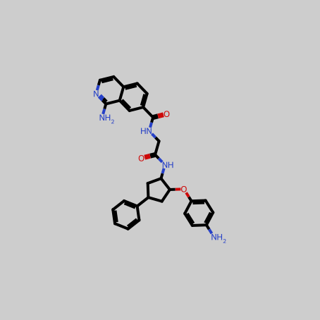 Nc1ccc(OC2CC(c3ccccc3)CC2NC(=O)CNC(=O)c2ccc3ccnc(N)c3c2)cc1